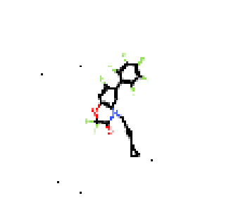 O=C1N(CC#CC2CC2)c2cc(-c3c(F)c(F)c(F)c(F)c3F)c(F)cc2OC1(F)F